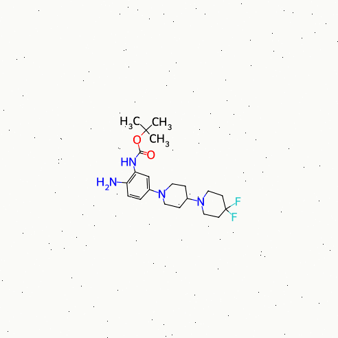 CC(C)(C)OC(=O)Nc1cc(N2CCC(N3CCC(F)(F)CC3)CC2)ccc1N